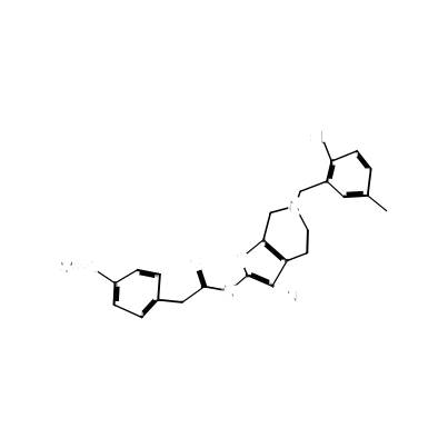 CSc1ccc(CC(=O)Nc2sc3c(c2C#N)CCN(Cc2cc(C)ccc2Cl)C3)cc1